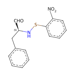 O=C[C@H](Cc1ccccc1)NSc1ccccc1[N+](=O)[O-]